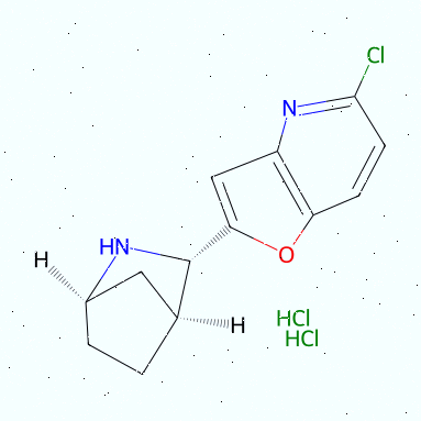 Cl.Cl.Clc1ccc2oc([C@H]3N[C@@H]4CC[C@H]3C4)cc2n1